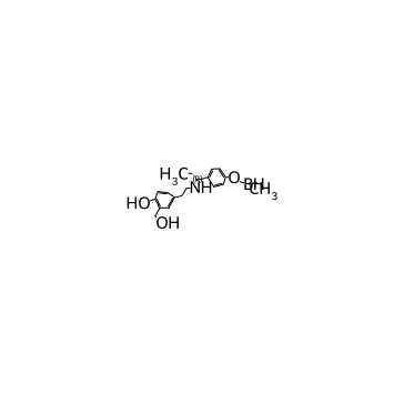 CBCOc1ccc([C@@H](CC)NCCc2ccc(O)c(CO)c2)cc1